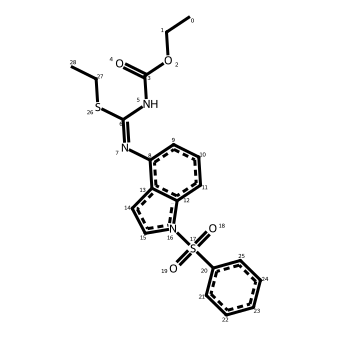 CCOC(=O)N/C(=N\c1cccc2c1ccn2S(=O)(=O)c1ccccc1)SCC